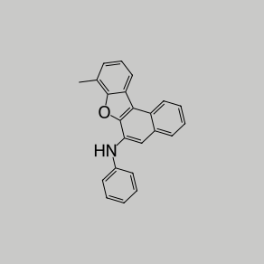 Cc1cccc2c1oc1c(Nc3ccccc3)cc3ccccc3c12